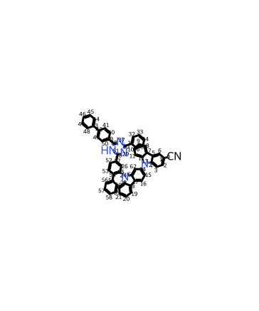 N#Cc1ccc2c(c1)c1ccccc1n2-c1ccc2c3ccccc3n(-c3cc(C4N=C(c5ccccc5)N=C(c5ccc(-c6ccccc6)cc5)N4)ccc3-c3ccccc3)c2c1